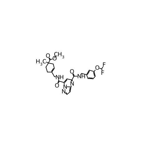 COC(=O)C1(C)CC=C(CNC(=O)c2cc(C(=O)NCc3cccc(OC(F)F)c3)nc3ccnn23)CC1